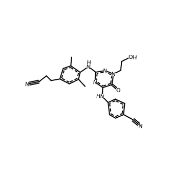 Cc1cc(CCC#N)cc(C)c1Nc1nc(Nc2ccc(C#N)cc2)c(=O)n(CCO)n1